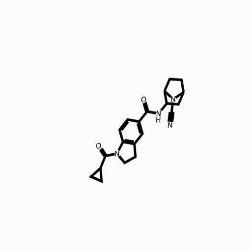 N#CN1C2CCC1C(NC(=O)c1ccc3c(c1)CCN3C(=O)C1CC1)C2